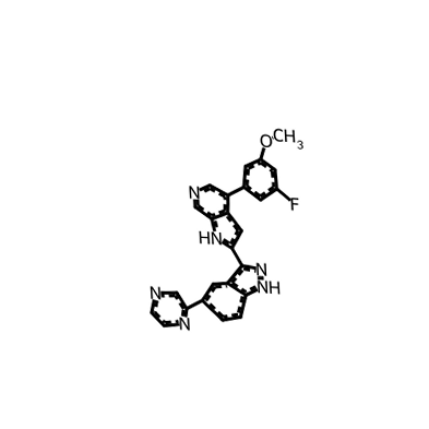 COc1cc(F)cc(-c2cncc3[nH]c(-c4n[nH]c5ccc(-c6cnccn6)cc45)cc23)c1